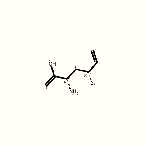 C=C[C@H](C)C[C@H](N)C(=C)O